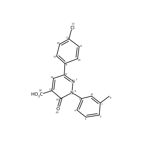 Cc1cccc(-n2nc(-c3ccc(Cl)cc3)cc(C(=O)O)c2=O)c1